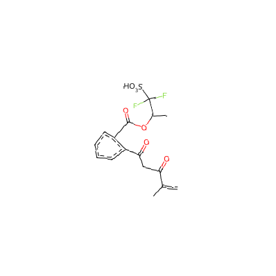 C=C(C)C(=O)CC(=O)c1ccccc1C(=O)OC(C)C(F)(F)S(=O)(=O)O